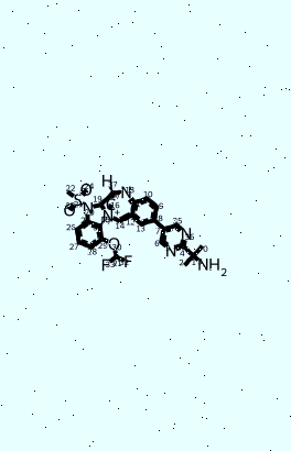 CC(C)(N)c1ncc(-c2ccc3c(c2)=C[N@@+]24C[C@@H](N=3)C2N(S(C)(=O)=O)c2cccc(OC(F)F)c24)cn1